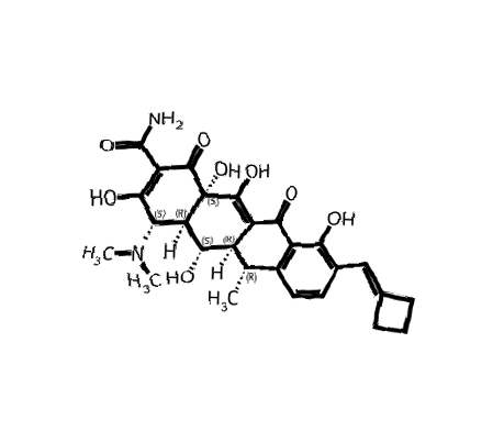 C[C@H]1c2ccc(C=C3CCC3)c(O)c2C(=O)C2=C(O)[C@]3(O)C(=O)C(C(N)=O)=C(O)[C@@H](N(C)C)[C@@H]3[C@@H](O)[C@@H]21